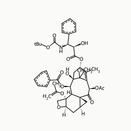 C=C(C)O[C@@]12CO[C@@H]1C[C@@H]1C[C@@]13C(=O)[C@H](OC(C)=O)C1=C(C)[C@@H](OC(=O)[C@H](O)[C@@H](NC(=O)OC(C)(C)C)c4ccccc4)C[C@@](O)([C@H](OC(=O)c4ccccc4)[C@H]23)C1(C)C